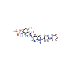 CCCS(=O)(=O)Nc1ccc(F)c(C(=O)Nc2cnc3[nH]c(-c4ccc(N5CCOCC5)nc4)cc3c2)c1F